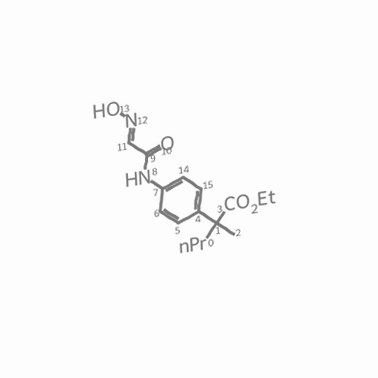 CCCC(C)(C(=O)OCC)c1ccc(NC(=O)C=NO)cc1